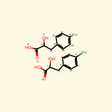 O=C(O)C(O)Cc1ccc(F)cc1.O=C(O)C(O)Cc1ccc(F)cc1